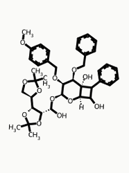 COc1ccc(CO[C@@H]2[C@H](OC(O)[C@@H]3OC(C)(C)O[C@@H]3[C@H]3COC(C)(C)O3)O[C@@H]3C(O)C(c4ccccc4)[C@]3(O)[C@@H]2OCc2ccccc2)cc1